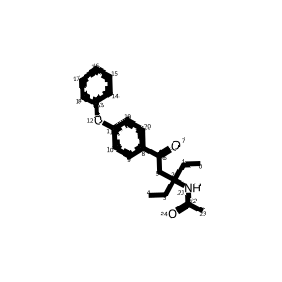 CCC(CC)(CC(=O)c1ccc(Oc2ccccc2)cc1)NC(C)=O